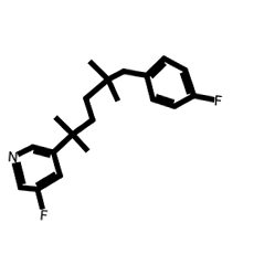 CC(C)(CCC(C)(C)c1cncc(F)c1)Cc1ccc(F)cc1